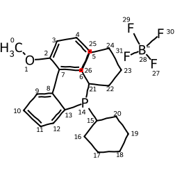 COc1ccccc1-c1ccccc1P(C1CCCCC1)C1CCCCC1.F[B-](F)(F)F